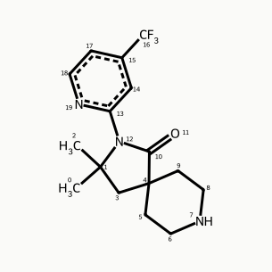 CC1(C)CC2(CCNCC2)C(=O)N1c1cc(C(F)(F)F)ccn1